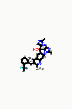 COc1nc2ccc(C(O)(c3cnc(C)n3C)c3cnc(C)n3C)cc2c(C#N)c1Cc1ccccc1C(C)(F)F